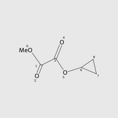 COC(=O)C(=O)OC1CC1